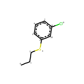 CCCSc1cccc(Cl)c1